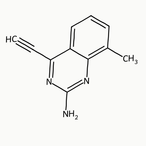 C#Cc1nc(N)nc2c(C)cccc12